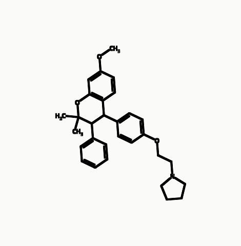 COc1ccc2c(c1)OC(C)(C)C(c1ccccc1)C2c1ccc(OCCN2CCCC2)cc1